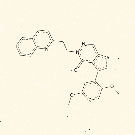 COc1ccc(OC)c(-c2csc3cnn(CCc4ccc5ccccc5n4)c(=O)c23)c1